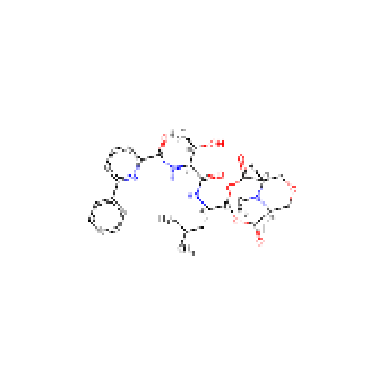 CC(C)C[C@H](NC(=O)[C@@H](NC(=O)c1cccc(-c2ccccc2)n1)[C@@H](C)O)B1OC(=O)[C@@H]2COC[C@@H](C(=O)O1)N2C